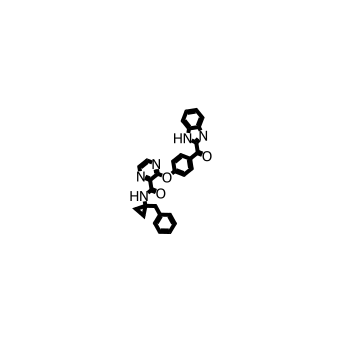 O=C(c1ccc(Oc2nccnc2C(=O)NC2(Cc3ccccc3)CC2)cc1)c1nc2ccccc2[nH]1